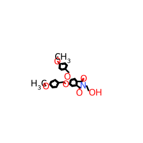 COc1ccc(COc2cc3c(cc2OCc2ccc(OC)cc2)C(=O)N(CCO)C3=O)cc1